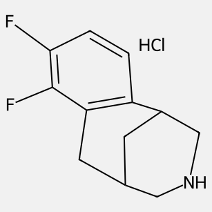 Cl.Fc1ccc2c(c1F)CC1CNCC2C1